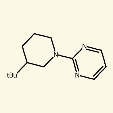 CC(C)(C)C1CCCN(c2ncccn2)C1